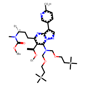 C=C(OCC)c1c(CC[C@@H](CC)N(C)C(=O)OC(C)(C)C)nc2c(-c3ccc(C(=O)O)nc3)cnn2c1N(COCC[Si](C)(C)C)COCC[Si](C)(C)C